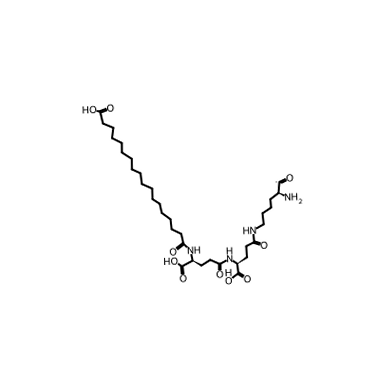 N[C@H]([C]=O)CCCCNC(=O)CC[C@H](NC(=O)CC[C@H](NC(=O)CCCCCCCCCCCCCCCCC(=O)O)C(=O)O)C(=O)O